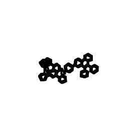 c1ccc(-c2ccc(N(c3ccc(-c4ccc5c(c4)c(-c4ccccc4)c(-c4ccccc4)c4ccccc45)cc3)c3ccccc3-c3ccc4c(c3)c3ccccc3n4-c3ccccc3)cc2)cc1